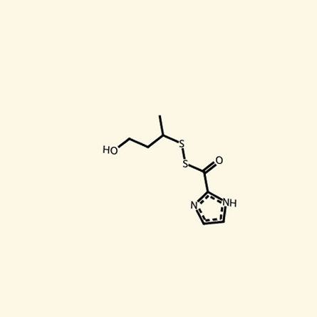 CC(CCO)SSC(=O)c1ncc[nH]1